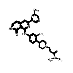 COc1cncc(-c2cc3cc[nH]c(=O)c3c(Nc3ccc(C4CCN(CCC(=O)N(C)C)CC4)c(C)c3)n2)n1